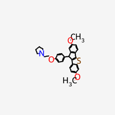 COc1ccc2c(c1)C(c1ccc(OCCN3CCCC3)cc1)c1c-2sc2cc(OC)ccc12